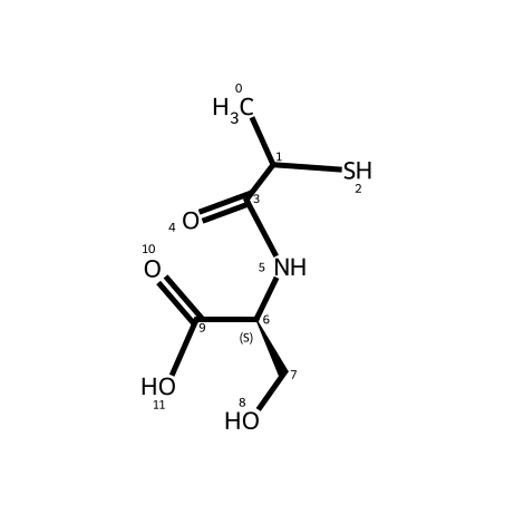 CC(S)C(=O)N[C@@H](CO)C(=O)O